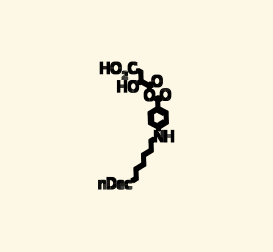 CCCCCCCCCCCCCCCCNc1ccc(C(=O)OC(=O)C(O)CC(=O)O)cc1